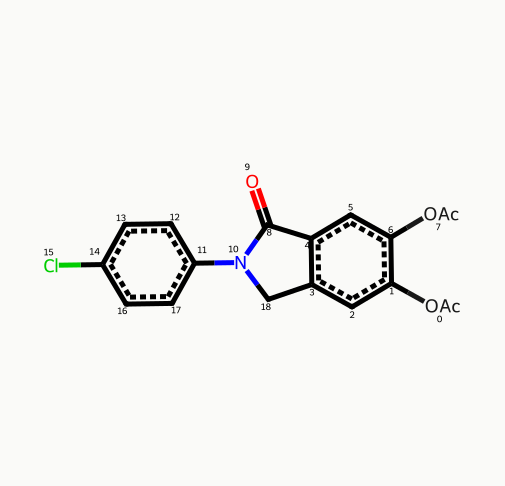 CC(=O)Oc1cc2c(cc1OC(C)=O)C(=O)N(c1ccc(Cl)cc1)C2